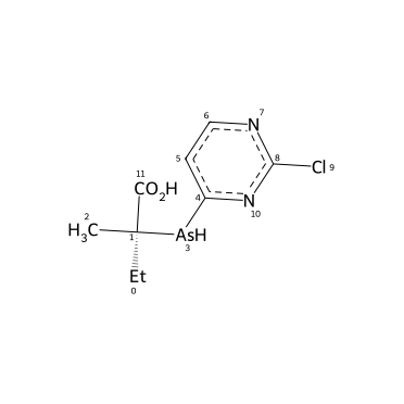 CC[C@@](C)([AsH]c1ccnc(Cl)n1)C(=O)O